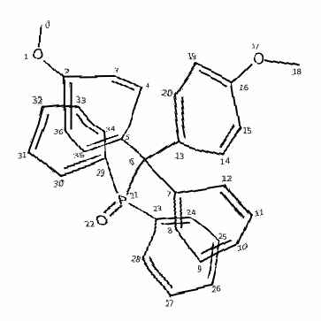 COc1ccc(C(c2ccccc2)(c2ccc(OC)cc2)P(=O)(c2ccccc2)c2ccccc2)cc1